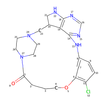 O=C1CCCOc2cc(ccc2Cl)Nc2ncnc3c2C(CN3)CN2CCN1CC2